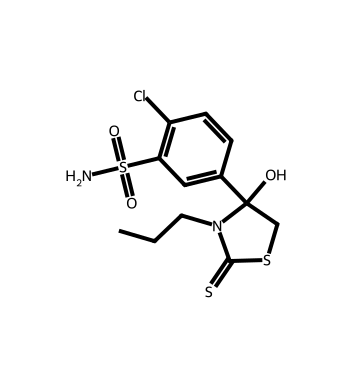 CCCN1C(=S)SCC1(O)c1ccc(Cl)c(S(N)(=O)=O)c1